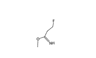 COC(=N)CCF